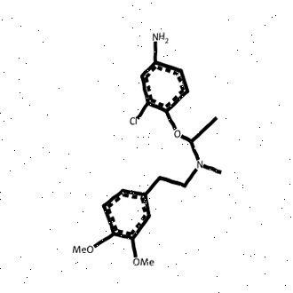 COc1ccc(CCN(C)C(C)Oc2ccc(N)cc2Cl)cc1OC